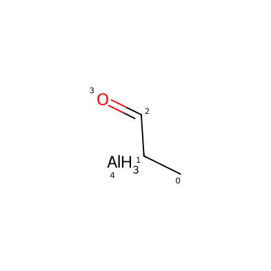 CCC=O.[AlH3]